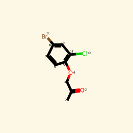 CC(=O)COc1ccc(Br)cc1Cl